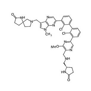 COc1nc(-c2cccc(-c3cccc(-c4cnc5c(CN6CCC7(CCC(=O)N7)C6)cn(C)c5n4)c3Cl)c2Cl)cnc1CNC[C@H]1CCC(=O)N1